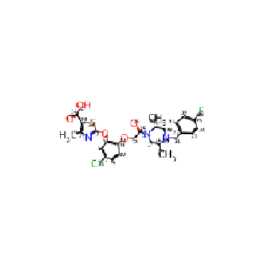 Cc1nc(Oc2cc(Cl)ccc2OCC(=O)N2C[C@H](C)N(Cc3ccc(F)cc3)C[C@H]2C)sc1C(=O)O